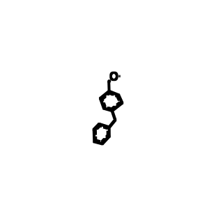 [O]Cc1ccc(Cc2ccccc2)cc1